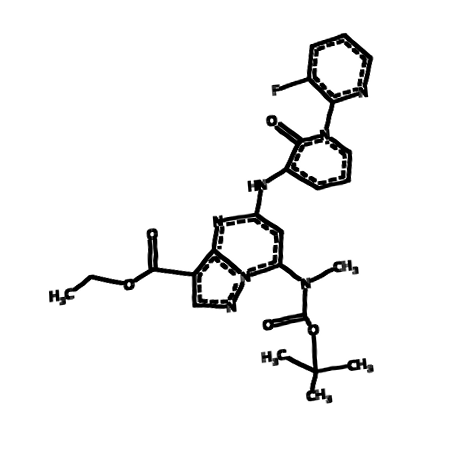 CCOC(=O)c1cnn2c(N(C)C(=O)OC(C)(C)C)cc(Nc3cccn(-c4ncccc4F)c3=O)nc12